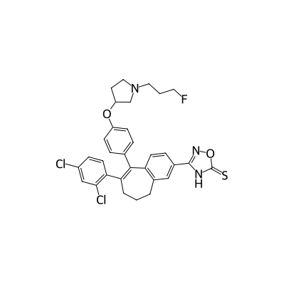 FCCCN1CCC(Oc2ccc(C3=C(c4ccc(Cl)cc4Cl)CCCc4cc(-c5noc(=S)[nH]5)ccc43)cc2)C1